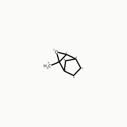 CC12OC1C1CCC2C1